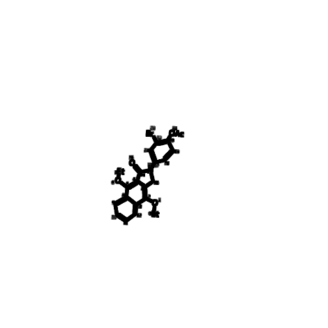 CCOc1c2c(c(OCC)c3ccccc13)C(=O)N(c1ccc(OC(C)=O)c(Br)c1)C2